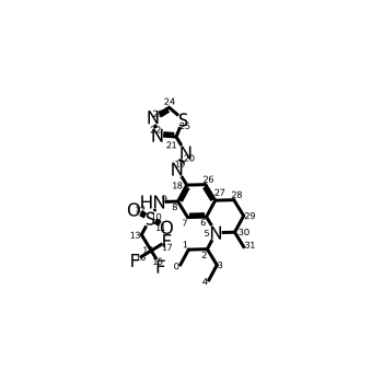 CCC(CC)N1c2cc(NS(=O)(=O)CC(F)(F)F)c(N=Nc3nncs3)cc2CCC1C